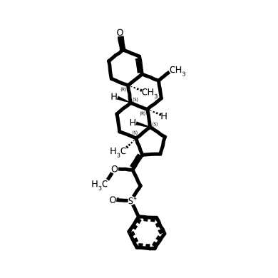 COC(C[S+]([O-])c1ccccc1)=C1CC[C@H]2[C@@H]3CC(C)C4=CC(=O)CC[C@]4(C)[C@H]3CC[C@]12C